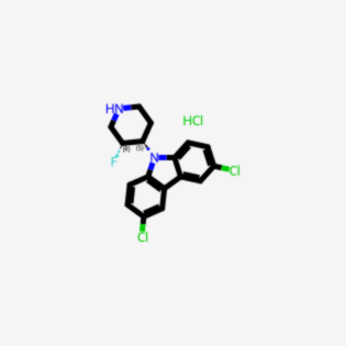 Cl.F[C@@H]1CNCC[C@@H]1n1c2ccc(Cl)cc2c2cc(Cl)ccc21